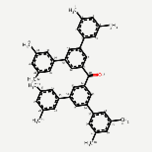 Cc1cc(C)cc(-c2cc(C(=O)c3cc(-c4cc(C)cc(C)c4)cc(-c4cc(C)cc(C)c4)c3)cc(-c3cc(C)cc(C)c3)c2)c1